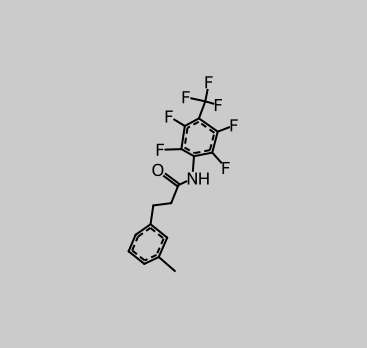 Cc1cccc(CCC(=O)Nc2c(F)c(F)c(C(F)(F)F)c(F)c2F)c1